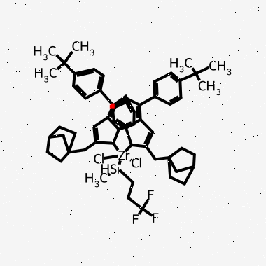 C[SiH](CCC(F)(F)F)[Zr]([Cl])([Cl])([CH]1C(CC23CCC(CC2)C3)=Cc2c(-c3ccc(C(C)(C)C)cc3)cccc21)[CH]1C(CC23CCC(CC2)C3)=Cc2c(-c3ccc(C(C)(C)C)cc3)cccc21